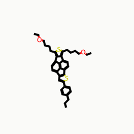 CCCc1ccc(-c2cc3c(s2)-c2ccc4c5c(ccc-3c25)-c2c(CCCCOCC)sc(CCCCOCC)c2-4)cc1